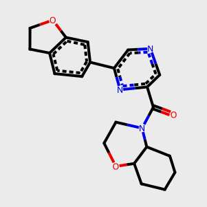 O=C(c1cncc(-c2ccc3c(c2)OCC3)n1)N1CCOC2CCCCC21